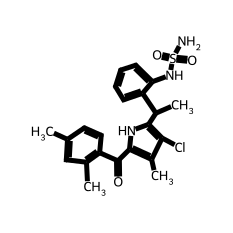 Cc1ccc(C(=O)c2[nH]c(C(C)c3ccccc3NS(N)(=O)=O)c(Cl)c2C)c(C)c1